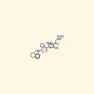 C/C(=C\[C@H](C(C)C)N(C)C(=O)CNC=O)C(=O)N1CCC[C@H]1C(=O)Nc1cccc2c1CCCC2